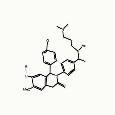 CC[C@@H](C)Oc1cc2c(cc1OC)CC(=O)N(c1ccc(C(C)N(CCCN(C)C)C(C)=O)cc1)C2c1ccc(Cl)cc1